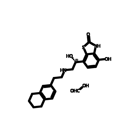 O=CO.O=c1[nH]c2c(O)ccc([C@@H](O)CNCCc3ccc4c(c3)CCCC4)c2s1